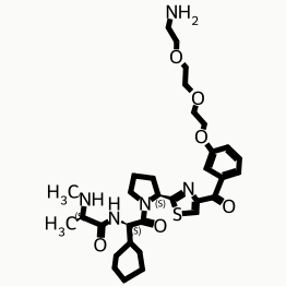 CN[C@@H](C)C(=O)N[C@H](C(=O)N1CCC[C@H]1c1nc(C(=O)c2cccc(OCCOCCOCCN)c2)cs1)C1CCCCC1